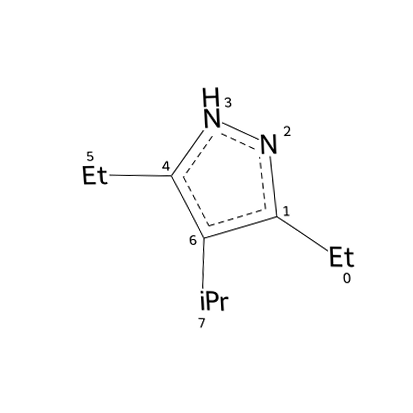 CCc1n[nH]c(CC)c1C(C)C